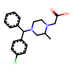 CC1CN(C(c2ccccc2)c2ccc(Cl)cc2)CCN1CC(=O)O